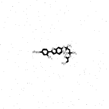 C=CC(=O)OC(C)(C)CC(C)(C)Oc1ccc2cc(-c3ccc(CCCCC)cc3C(F)(F)F)oc2c1